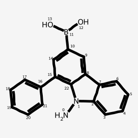 Nn1c2ccccc2c2cc(B(O)O)cc(-c3ccccc3)c21